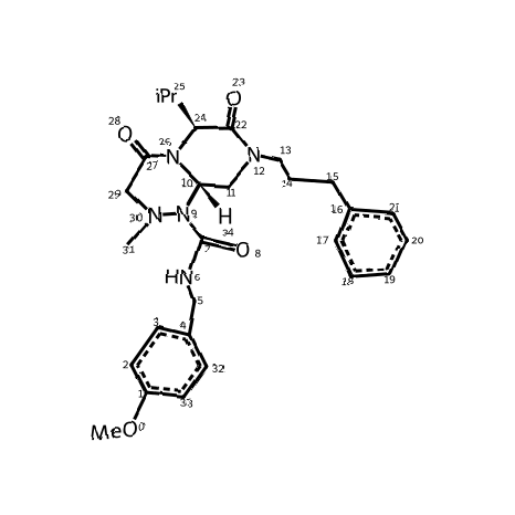 COc1ccc(CNC(=O)N2[C@H]3CN(CCCc4ccccc4)C(=O)[C@H](C(C)C)N3C(=O)CN2C)cc1